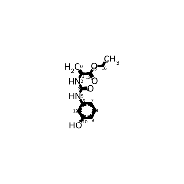 C=C(NC(=O)Nc1cccc(O)c1)C(=O)OCC